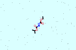 CCOC(=O)N=NC(=O)OC(C)C